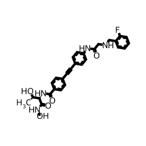 C[C@@H](O)[C@H](NC(=O)c1ccc(C#Cc2ccc(NC(=O)CNCc3ccccc3F)cc2)cc1)C(=O)NO